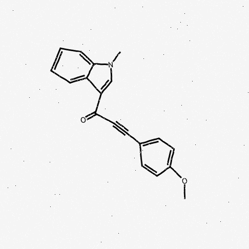 COc1ccc(C#CC(=O)c2cn(C)c3ccccc23)cc1